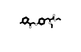 CCOC(=O)C(Cc1ccc(OCC(=O)c2cccc(C)c2)cc1)OCC